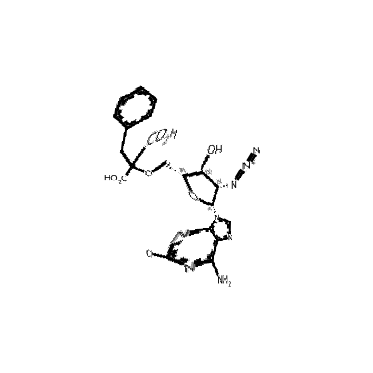 [N-]=[N+]=N[C@H]1[C@H](O)[C@@H](COC(Cc2ccccc2)(C(=O)O)C(=O)O)O[C@H]1n1cnc2c(N)nc(Cl)nc21